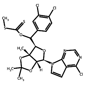 CSC(=S)OC(c1ccc(Cl)c(Cl)c1)[C@H]1O[C@@H](n2ccc3c(Cl)ncnc32)[C@@H]2OC(C)(C)O[C@]12C